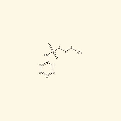 CCCCS(=O)(=O)Nc1cc[c]cc1